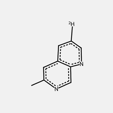 [2H]c1cnc2cnc(C)cc2c1